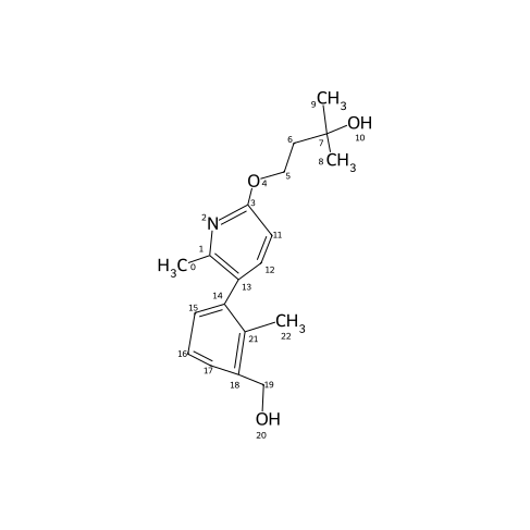 Cc1nc(OCCC(C)(C)O)ccc1-c1cccc(CO)c1C